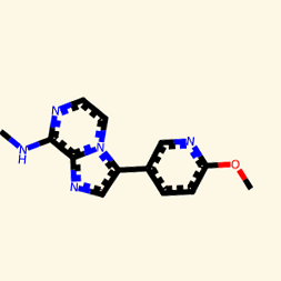 CNc1nccn2c(-c3ccc(OC)nc3)cnc12